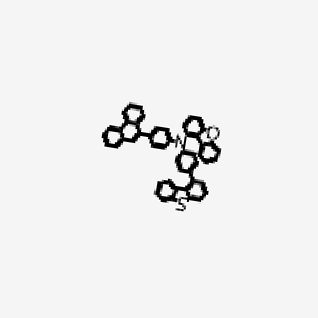 c1ccc2c(c1)cc(-c1ccc(N(c3ccc(-c4cccc5sc6ccccc6c45)cc3)c3cccc4oc5ccccc5c34)cc1)c1ccccc12